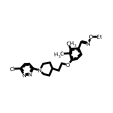 CCON=Cc1ccc(OCCC2CCN(c3ccc(Cl)nn3)CC2)c(C)c1C